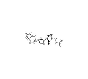 CC(=O)CSc1nnc(-c2ccc(-c3ccc4occc4c3)o2)[nH]1